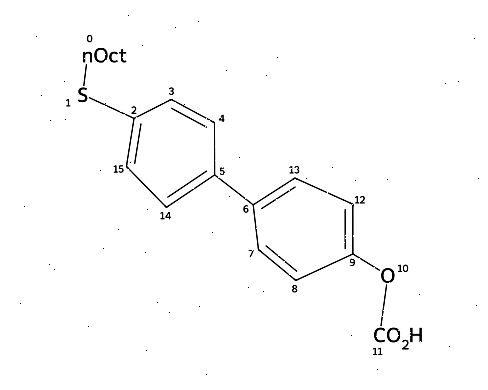 CCCCCCCCSc1ccc(-c2ccc(OC(=O)O)cc2)cc1